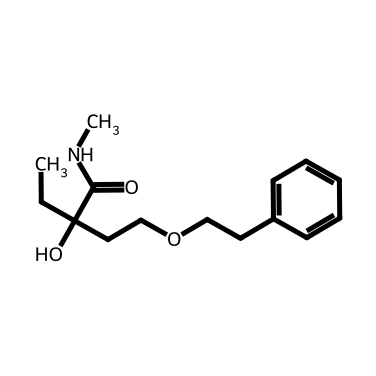 CCC(O)(CCOCCc1ccccc1)C(=O)NC